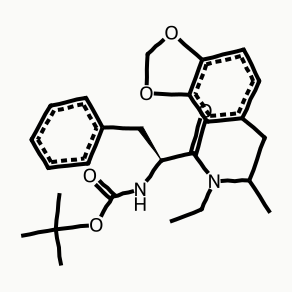 CCN(C(=O)[C@H](Cc1ccccc1)NC(=O)OC(C)(C)C)C(C)Cc1ccc2c(c1)OCO2